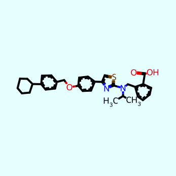 CC(C)N(Cc1ccccc1C(=O)O)c1nc(-c2ccc(OCc3ccc(C4CCCCC4)cc3)cc2)cs1